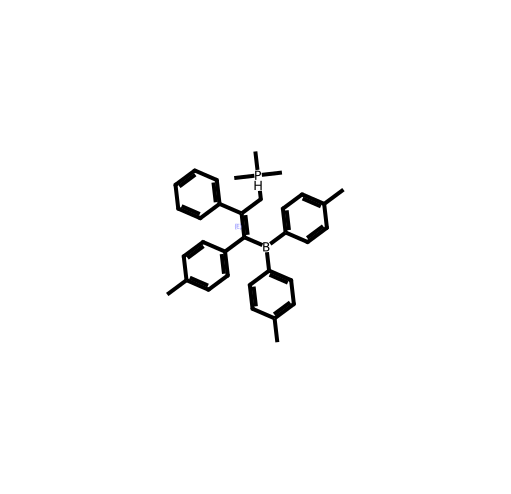 Cc1ccc(B(/C(=C(\C[PH](C)(C)C)c2ccccc2)c2ccc(C)cc2)c2ccc(C)cc2)cc1